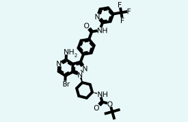 CC(C)(C)OC(=O)N[C@@H]1CCC[C@@H](n2nc(-c3ccc(C(=O)Nc4cc(C(F)(F)F)ccn4)cc3)c3c(N)ncc(Br)c32)C1